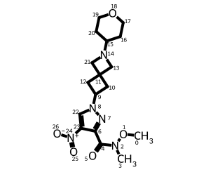 CON(C)C(=O)c1nn(C2CC3(C2)CN(C2CCOCC2)C3)cc1[N+](=O)[O-]